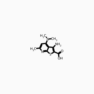 Cc1cc(N(C)C)c2c(N)c(C(=O)O)sc2n1